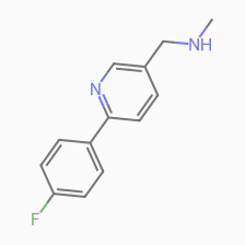 CNCc1ccc(-c2ccc(F)cc2)nc1